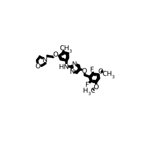 COc1cc(OC)c(F)c(COc2cnc(Nc3ccc(C)c(OCCN4CCOCC4)c3)nc2)c1F